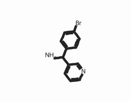 CC(c1ccc(Br)cc1)c1cccnc1.N